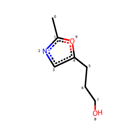 Cc1ncc(CCCO)o1